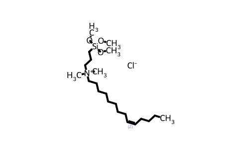 CCCC/C=C\CCCCCCCC[N+](C)(C)CCC[Si](OC)(OC)OC.[Cl-]